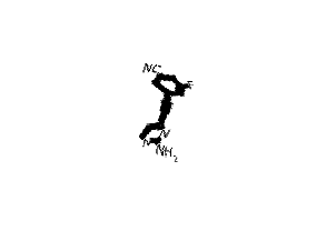 N#Cc1cc(F)cc(C#Cc2ccnc(N)n2)c1